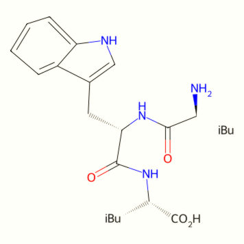 CC[C@H](C)[C@H](N)C(=O)N[C@@H](Cc1c[nH]c2ccccc12)C(=O)N[C@H](C(=O)O)[C@@H](C)CC